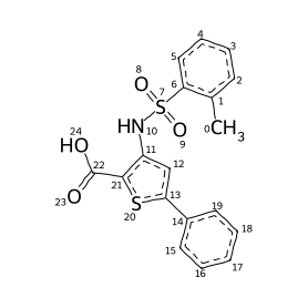 Cc1ccccc1S(=O)(=O)Nc1cc(-c2ccccc2)sc1C(=O)O